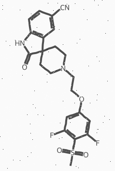 CS(=O)(=O)c1c(F)cc(OCCN2CCC3(CC2)C(=O)Nc2ccc(C#N)cc23)cc1F